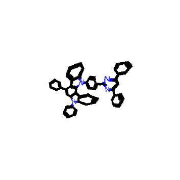 c1ccc(-c2cc(-c3ccccc3)nc(-c3ccc(-n4c5ccccc5c5c(-c6ccccc6)cc6c(c7ccccc7n6-c6ccccc6)c54)cc3)n2)cc1